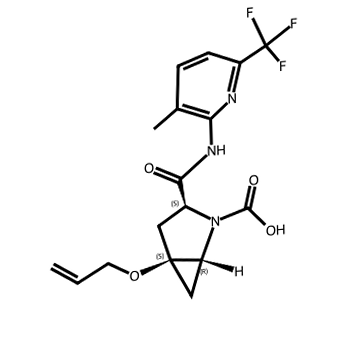 C=CCO[C@@]12C[C@@H](C(=O)Nc3nc(C(F)(F)F)ccc3C)N(C(=O)O)[C@@H]1C2